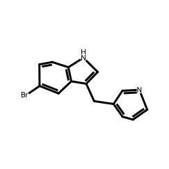 Brc1ccc2[nH]cc(Cc3cccnc3)c2c1